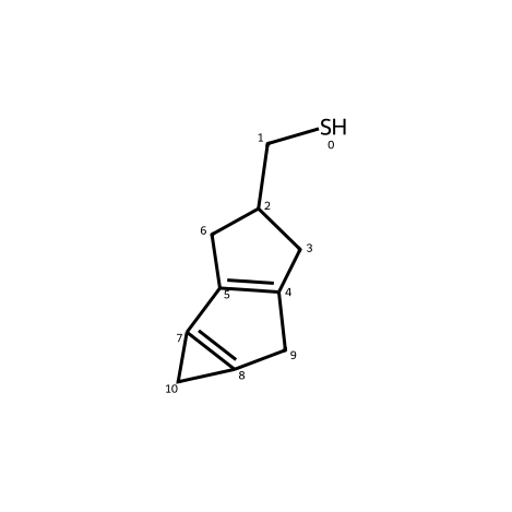 SCC1CC2=C(C1)C1=C(C2)C1